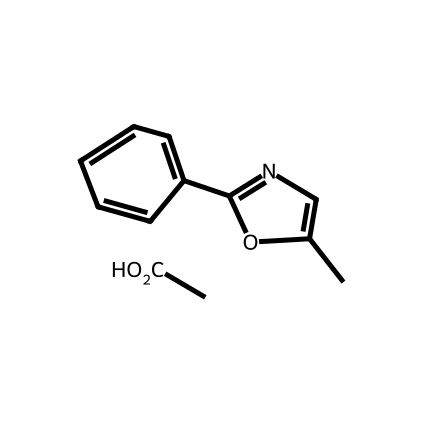 CC(=O)O.Cc1cnc(-c2ccccc2)o1